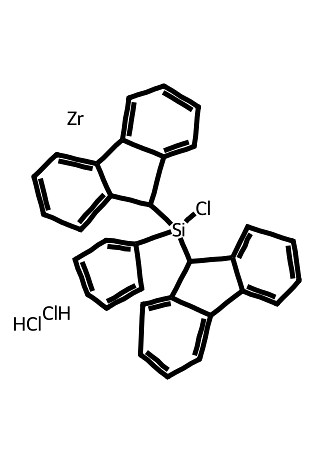 Cl.Cl.Cl[Si](c1ccccc1)(C1c2ccccc2-c2ccccc21)C1c2ccccc2-c2ccccc21.[Zr]